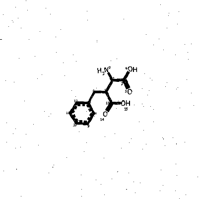 NC(C(=O)O)C(Cc1ccccc1)C(=O)O